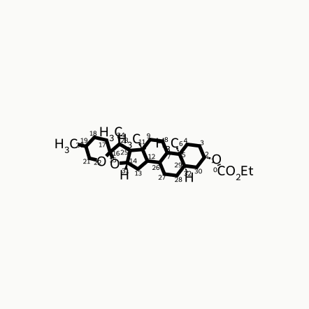 CCOC(=O)O[C@H]1CC[C@]2(C)C3CC[C@@]4(C)C(C[C@@H]5OC6(CCC(C)CO6)[C@@H](C)C54)C3CC[C@@H]2C1